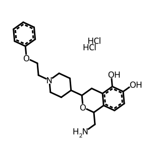 Cl.Cl.NCC1OC(C2CCN(CCOc3ccccc3)CC2)Cc2c1ccc(O)c2O